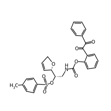 Cc1ccc(S(=O)(=O)O[C@@H](CNC(=O)Oc2ccccc2C(=O)C(=O)c2ccccc2)[C@@H]2C=CCO2)cc1